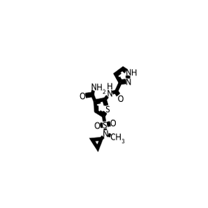 CN(C1CC1)S(=O)(=O)c1cc(C(N)=O)c(NC(=O)c2cc[nH]n2)s1